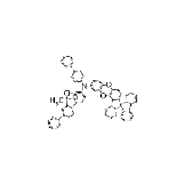 CC1(C)c2cc(-c3ccccc3)ccc2-c2ccc(N(c3ccc(-c4ccccc4)cc3)c3ccc4c(c3)Oc3c(ccc5c3-c3ccccc3C53c5ccccc5-c5ccccc53)O4)cc21